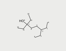 CCC(CC)CCC(O)(CC)CC